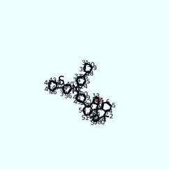 CC1(C)c2ccccc2C2(c3ccccc3-c3c(-c4ccc(N(c5ccc(-c6ccccc6)cc5)c5ccc6c(c5)sc5ccccc56)cc4)cccc32)c2ccccc21